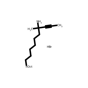 Br.CC#CC(C)(N)CCCCCCCCCCCCCC